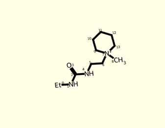 CCNC(=O)NCC[N+]1(C)CCCCC1